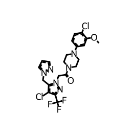 COc1cc(N2CCN(C(=O)Cn3nc(C(F)(F)F)c(Cl)c3Cn3cccn3)CC2)ccc1Cl